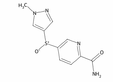 Cn1cc([S+]([O-])c2ccc(C(N)=O)nc2)cn1